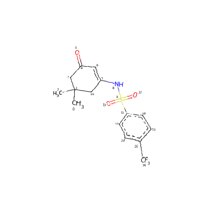 CC1(C)CC(=O)C=C(NS(=O)(=O)c2ccc(C(F)(F)F)cc2)C1